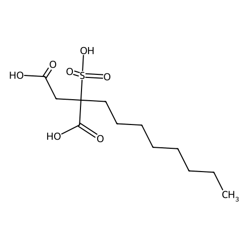 CCCCCCCCC(CC(=O)O)(C(=O)O)S(=O)(=O)O